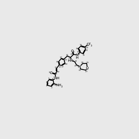 Nc1ccccc1NC(=O)/C=C/c1ccc(CC(NCCN2CCOCC2)C(=O)Nc2ccc(C(F)(F)F)cc2)cc1